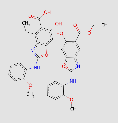 CCOC(=O)c1cc2nc(Nc3ccccc3OC)oc2cc1O.CCc1c(C(=O)O)c(O)cc2oc(Nc3ccccc3OC)nc12